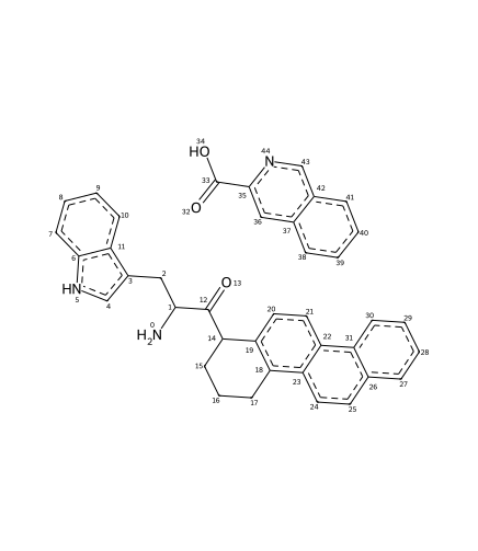 NC(Cc1c[nH]c2ccccc12)C(=O)C1CCCc2c1ccc1c2ccc2ccccc21.O=C(O)c1cc2ccccc2cn1